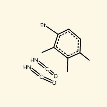 CCc1ccc(C)c(C)c1C.N=C=O.N=C=O